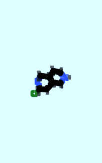 Clc1cc2cnccc2cn1